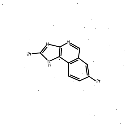 CC(C)c1ccc2c(cnc3nc(C(C)C)[nH]c32)c1